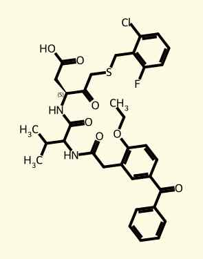 CCOc1ccc(C(=O)c2ccccc2)cc1CC(=O)NC(C(=O)N[C@@H](CC(=O)O)C(=O)CSCc1c(F)cccc1Cl)C(C)C